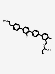 C=CC(O)OCc1cc(-c2ccc(-c3ccc(-c4ccc(CCO)cc4)cc3F)cc2)ccc1C